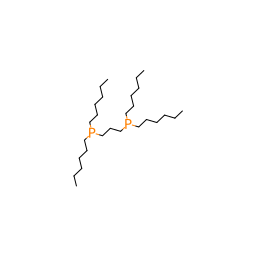 CCCCCCP(CCCCCC)CCCP(CCCCCC)CCCCCC